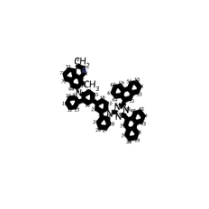 C=C/C=C\c1c(C)c(-n2c3ccccc3c3cc(-c4ccc5c(c4)c4ccccc4n5-c4nc(-c5cc6ccccc6c6ccccc56)nc(-c5cc6ccccc6c6ccccc56)n4)ccc32)cc2ccccc12